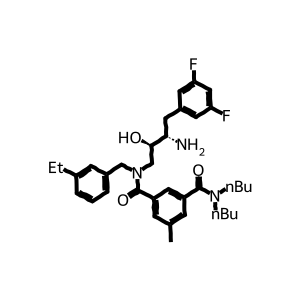 CCCCN(CCCC)C(=O)c1cc(C)cc(C(=O)N(Cc2cccc(CC)c2)C[C@@H](O)[C@@H](N)Cc2cc(F)cc(F)c2)c1